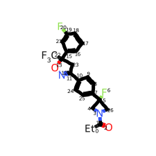 CCC(=O)N1CC(F)(c2ccc(C3=NOC(c4cccc(F)c4)(C(F)(F)F)C3)cc2)C1